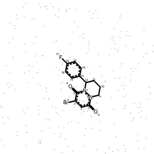 O=c1cc(Br)c(=O)n2n1CCCC2c1ccc(F)cc1